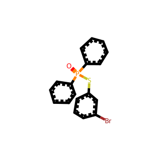 O=P(Sc1cccc(Br)c1)(c1ccccc1)c1ccccc1